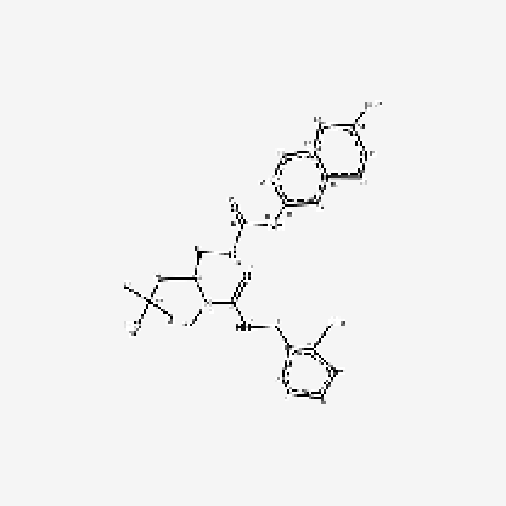 CN(C(=O)NCc1ccccc1Cl)[C@H](COC(=O)Nc1cc2ccc(F)cc2cn1)CC(C)(C)O